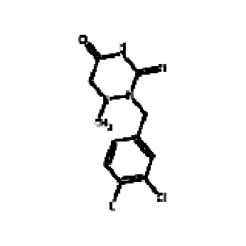 CN1CC(=O)NC(=O)N1Cc1ccc(Cl)c(Cl)c1